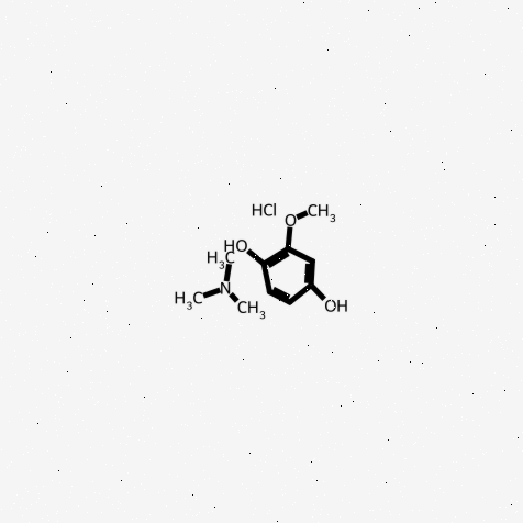 CN(C)C.COc1cc(O)ccc1O.Cl